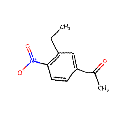 CCc1cc(C(C)=O)ccc1[N+](=O)[O-]